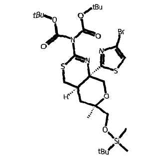 CC(C)(C)OC(=O)N(C(=O)OC(C)(C)C)C1=N[C@@]2(c3nc(Br)cs3)CO[C@@](C)(CO[Si](C)(C)C(C)(C)C)C[C@H]2CS1